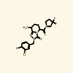 CC1CCC(C(=O)N2CCC(F)(F)C2)n2c1nn(Cc1ccc(F)c(Cl)c1)c2=O